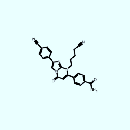 N#CCCCCn1c(-c2ccc(C(N)=O)cc2)cc(=O)n2cc(-c3ccc(C#N)cc3)nc12